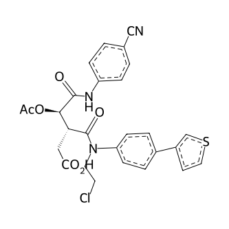 CC(=O)O[C@@H](C(=O)Nc1ccc(C#N)cc1)[C@@H](CC(=O)O)C(=O)N(CCCl)c1ccc(-c2ccsc2)cc1